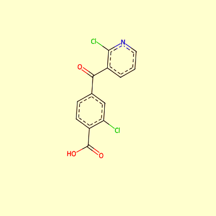 O=C(O)c1ccc(C(=O)c2cccnc2Cl)cc1Cl